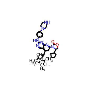 CC(C)[Si](C#Cc1cc(N2C(=O)OCC2C2CCCC2)nc2nc(Nc3ccc(N4CCNCC4)cc3)ncc12)(C(C)C)C(C)C